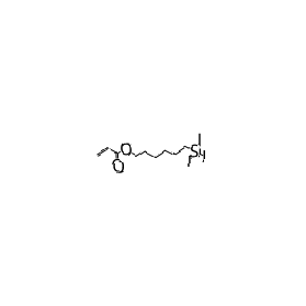 C=CC(=O)OCCCCCC[Si](I)(I)I